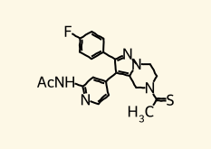 CC(=O)Nc1cc(-c2c(-c3ccc(F)cc3)nn3c2CN(C(C)=S)CC3)ccn1